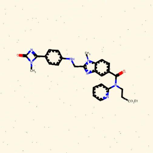 CCOC(=O)CCN(C(=O)c1ccc2c(c1)nc(CNc1ccc(C3=NC(=O)N3C)cc1)n2C)c1ccccn1